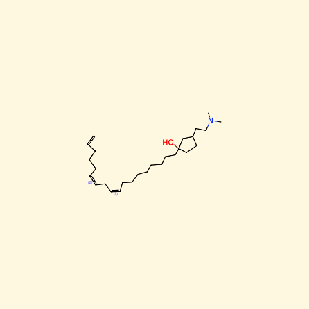 C=CCCC/C=C\C/C=C\CCCCCCCCC1(O)CCC(CCN(C)C)C1